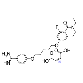 CC(C)N(C(=O)c1ccc(OCCCCCOc2ccc(C(=N)N)cc2)cc1F)C(C)C.O=C(O)/C=C\C(=O)O